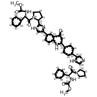 COC(=O)N[C@@H](C(=O)N1CCCC1c1nc(-c2ccc3[nH]c(-c4ccc(-c5cnc([C@@H]6CCCN6C(=O)[C@H](NC(=O)OC)c6ccccc6)[nH]5)cc4)cc(=O)c3c2)c[nH]1)c1ccccc1